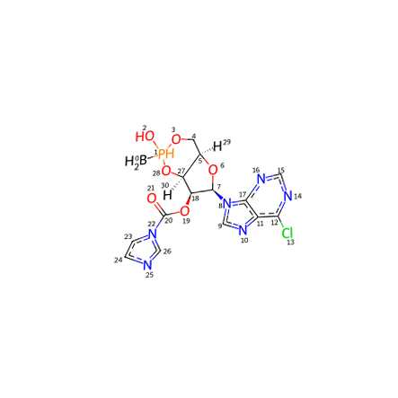 B[PH]1(O)OC[C@H]2O[C@@H](n3cnc4c(Cl)ncnc43)[C@@H](OC(=O)n3ccnc3)[C@H]2O1